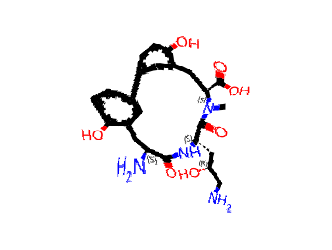 CN1C(=O)[C@H](C[C@@H](O)CN)NC(=O)[C@@H](N)Cc2cc(ccc2O)-c2ccc(O)c(c2)C[C@H]1C(=O)O